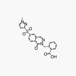 Cn1ccc(S(=O)(=O)c2ccc3c(=O)n(Cc4ccccc4C(=O)O)ncc3c2)n1